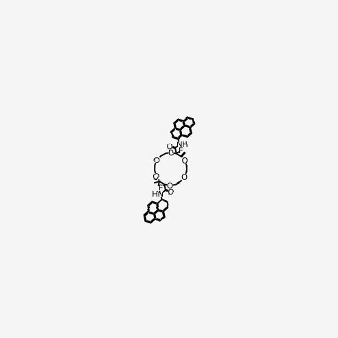 C=C1OCCOCCO[C@](F)(C(=O)NC2CC=c3ccc4cccc5ccc2c3c54)C(C)(C)OCCOCCOC1(F)C(=O)Nc1ccc2ccc3cccc4ccc1c2c34